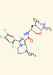 CNCC(C)C[C@@H](C=O)NC(=O)c1nc(-c2cc(F)c(F)cc2F)n2c1CN(C)CCC2